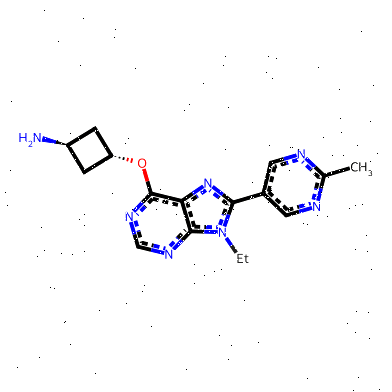 CCn1c(-c2cnc(C)nc2)nc2c(O[C@H]3C[C@H](N)C3)ncnc21